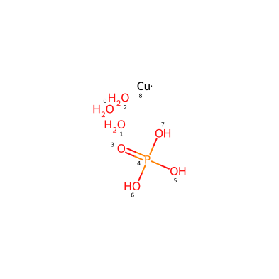 O.O.O.O=P(O)(O)O.[Cu]